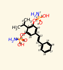 CC(C)c1c(OP(N)(=O)O)cc(/C=C/c2ccccc2)cc1OP(N)(=O)O